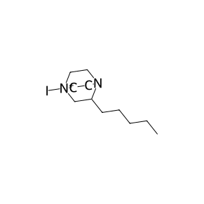 CCCCCC1C[N+]2(I)CCN1CC2